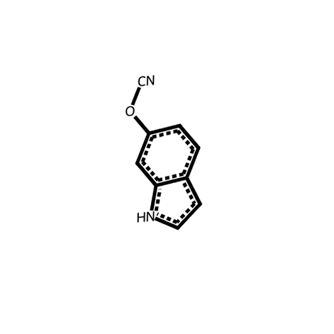 N#COc1ccc2cc[nH]c2c1